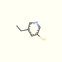 CCc1cncc(S)c1